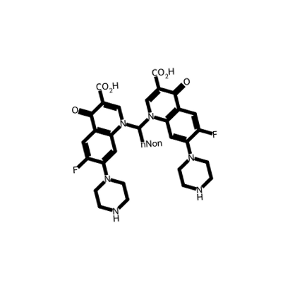 CCCCCCCCCC(n1cc(C(=O)O)c(=O)c2cc(F)c(N3CCNCC3)cc21)n1cc(C(=O)O)c(=O)c2cc(F)c(N3CCNCC3)cc21